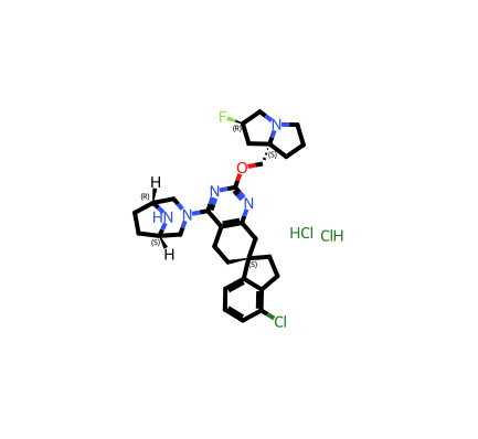 Cl.Cl.F[C@H]1CN2CCC[C@@]2(COc2nc3c(c(N4C[C@H]5CC[C@@H](C4)N5)n2)CC[C@]2(CCc4c(Cl)cccc42)C3)C1